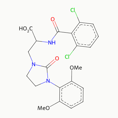 COc1cccc(OC)c1N1CCN(CC(NC(=O)c2c(Cl)cccc2Cl)C(=O)O)C1=O